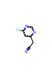 N#CCc1cc(F)ncn1